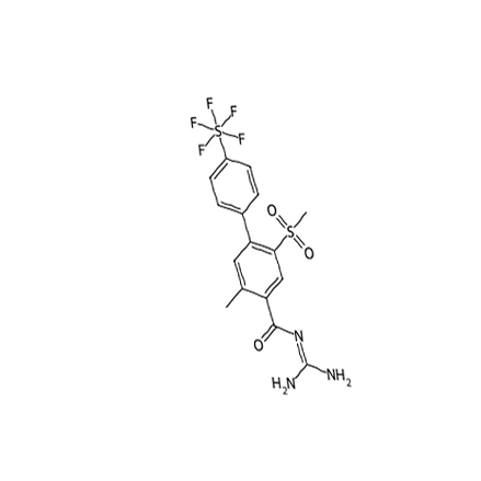 Cc1cc(-c2ccc(S(F)(F)(F)(F)F)cc2)c(S(C)(=O)=O)cc1C(=O)N=C(N)N